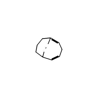 C1=CC2CCCC(=CC1)CC2